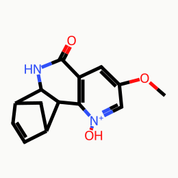 COc1cc2c([n+](O)c1)C1C3C=CC(C3)C1NC2=O